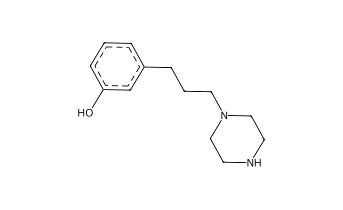 Oc1cccc(CCCN2CCNCC2)c1